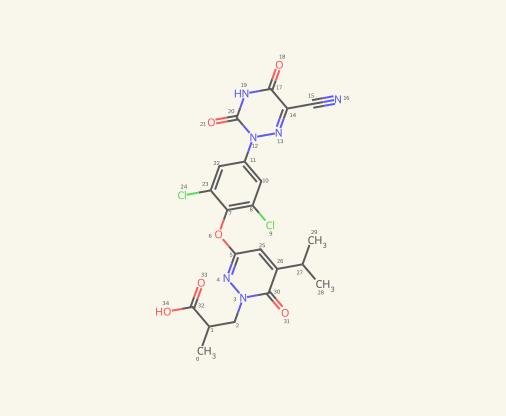 CC(Cn1nc(Oc2c(Cl)cc(-n3nc(C#N)c(=O)[nH]c3=O)cc2Cl)cc(C(C)C)c1=O)C(=O)O